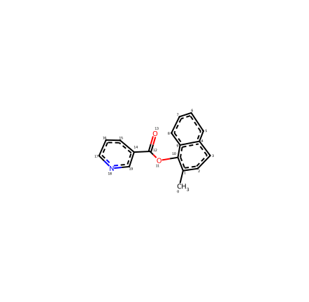 Cc1ccc2ccccc2c1OC(=O)c1cccnc1